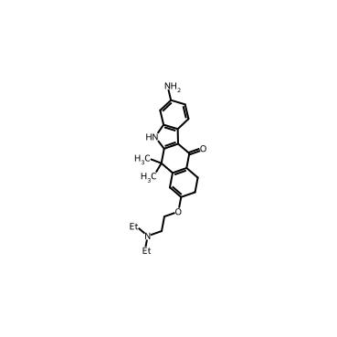 CCN(CC)CCOC1=CC2=C(CC1)C(=O)c1c([nH]c3cc(N)ccc13)C2(C)C